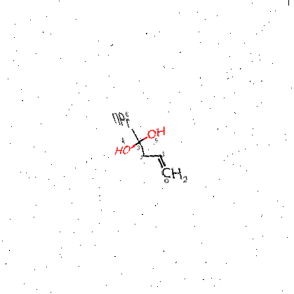 C=CCC(O)(O)CCC